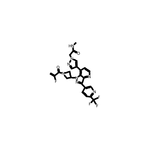 C=C(F)C(=O)N1CC(n2nc(-c3ccc(C(F)(F)F)nc3)c3nccc(-c4cnn(CC(=O)NC)c4)c32)C1